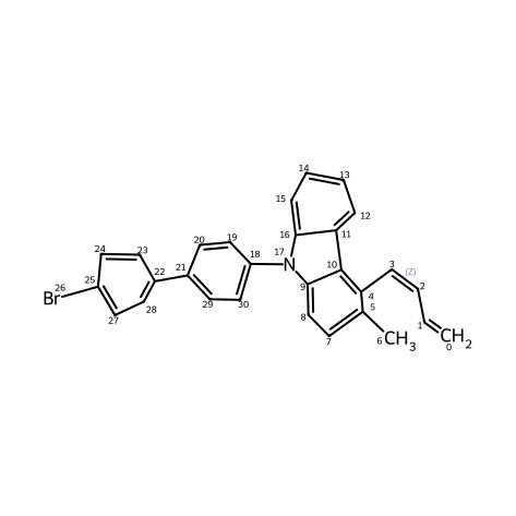 C=C/C=C\c1c(C)ccc2c1c1ccccc1n2-c1ccc(-c2ccc(Br)cc2)cc1